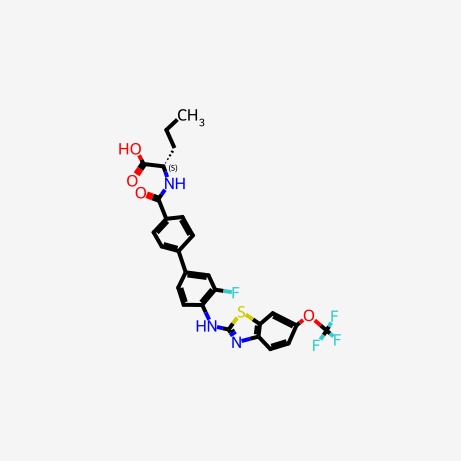 CCC[C@H](NC(=O)c1ccc(-c2ccc(Nc3nc4ccc(OC(F)(F)F)cc4s3)c(F)c2)cc1)C(=O)O